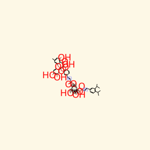 Cc1cc(O)c2c(c1)OC1(c3ccc(O)c(O)c3)Oc3cc(/C=C/C(=O)O[C@@H]4C[C@@H](O)[C@H](O)[C@H](OC(=O)/C=C/c5ccc(C(C)C)c(C(C)C)c5)C4)ccc3OC1(O)C2=O